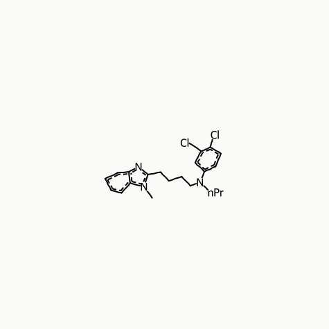 CCCN(CCCCc1nc2ccccc2n1C)c1ccc(Cl)c(Cl)c1